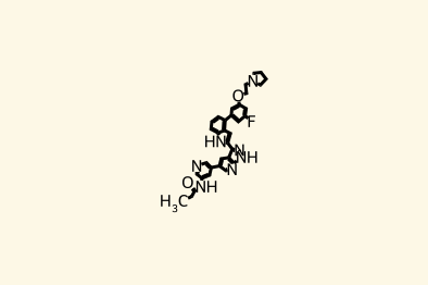 CCC(=O)Nc1cncc(-c2cnc3[nH]nc(-c4cc5c(-c6cc(F)cc(OCCN7CCCC7)c6)cccc5[nH]4)c3c2)c1